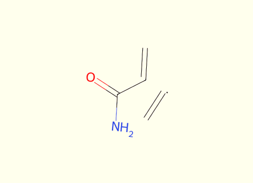 C=CC(N)=O.[CH]=C